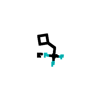 F[B-](F)(F)CC1CCC1.[K+]